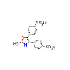 O=S(=O)(O)c1ccc(-c2nc(S)oc2-c2ccc(S(=O)(=O)O)cc2)cc1